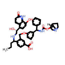 CCCC(NC[C@H](O)c1ccc(O)c2[nH]c(=O)ccc12)c1ccc(C(=O)O)cc1COc1cccc(C(NC(=O)O[C@H]2CN3CCC2CC3)c2ccccc2)c1